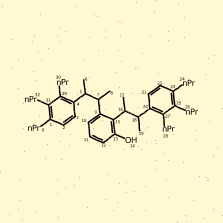 CCCc1ccc(C(C)C(C)c2cccc(O)c2C(C)C(C)c2ccc(CCC)c(CCC)c2CCC)c(CCC)c1CCC